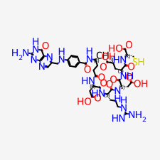 C[C@H](CCC(=O)N[C@H](CC(=O)O)C(=O)N[C@@H](CCCNC(=N)N)C(=O)N[C@@H](CC(=O)O)C(=O)N[C@@H](CCC(=O)O)C(=O)N[C@@H](CS)C(=O)O)NC(=O)c1ccc(NCc2cnc3nc(N)[nH]c(=O)c3n2)cc1